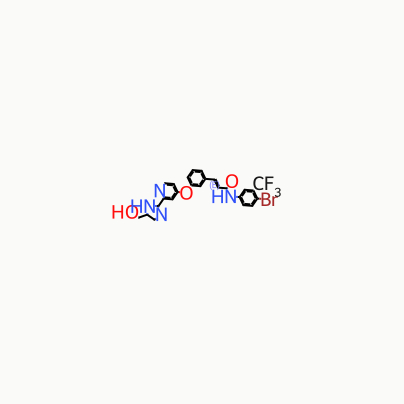 O=C(/C=C/c1cccc(Oc2ccnc(C3=NCC(CO)N3)c2)c1)Nc1ccc(Br)c(C(F)(F)F)c1